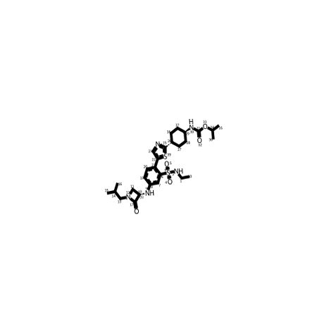 CCNS(=O)(=O)c1cc(N[C@H]2CN(CC(C)C)C2=O)ccc1-c1cnc([C@H]2CC[C@H](NC(=O)OC(C)C)CC2)s1